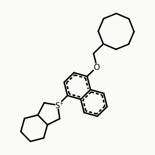 c1ccc2c([S+]3CC4CCCCC4C3)ccc(OCC3CCCCCCC3)c2c1